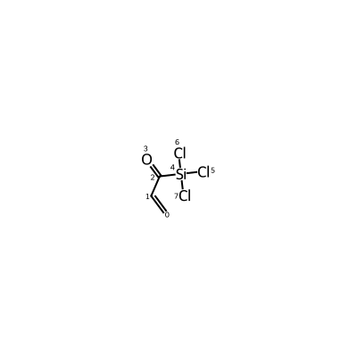 C=CC(=O)[Si](Cl)(Cl)Cl